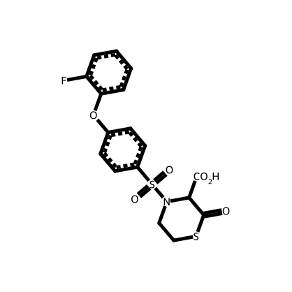 O=C(O)C1C(=O)SCCN1S(=O)(=O)c1ccc(Oc2ccccc2F)cc1